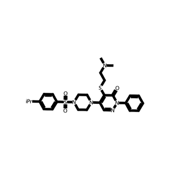 CC(C)c1ccc(S(=O)(=O)N2CCN(c3cnn(-c4ccccc4)c(=O)c3SCCN(C)C)CC2)cc1